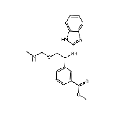 CNCSCC(Nc1nc2ccccc2[nH]1)c1cccc(C(=O)OC)c1